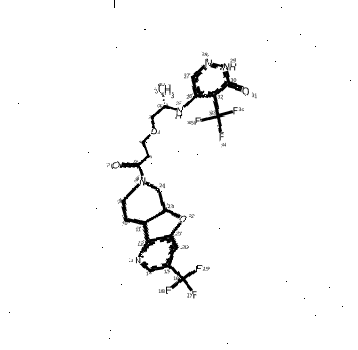 C[C@@H](COCCC(=O)N1CCC2c3ncc(C(F)(F)F)cc3OC2C1)Nc1cn[nH]c(=O)c1C(F)(F)F